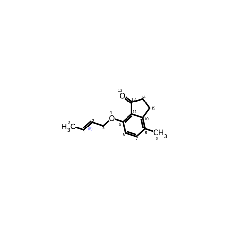 C/C=C/COc1ccc(C)c2c1C(=O)CC2